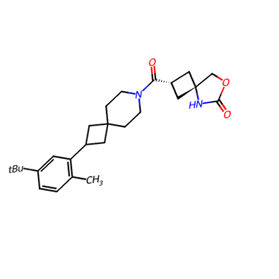 Cc1ccc(C(C)(C)C)cc1C1CC2(CCN(C(=O)[C@H]3C[C@]4(COC(=O)N4)C3)CC2)C1